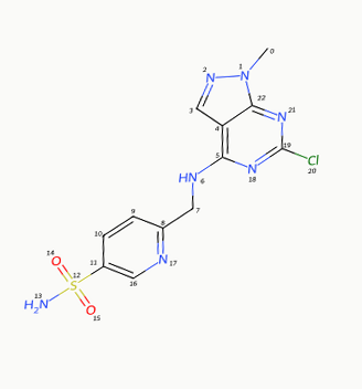 Cn1ncc2c(NCc3ccc(S(N)(=O)=O)cn3)nc(Cl)nc21